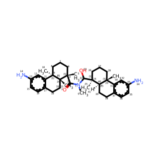 CN(C(=O)[C@@]1(C)CCC[C@]2(C)c3cc(N)ccc3CC[C@@]12C)C(O)[C@@]1(C)CCC[C@]2(C)c3cc(N)ccc3CC[C@H]21